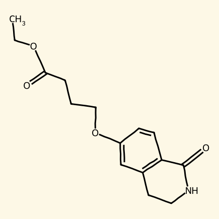 CCOC(=O)CCCOc1ccc2c(c1)CCNC2=O